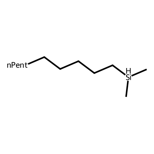 CCCCCCCCCC[SiH](C)C